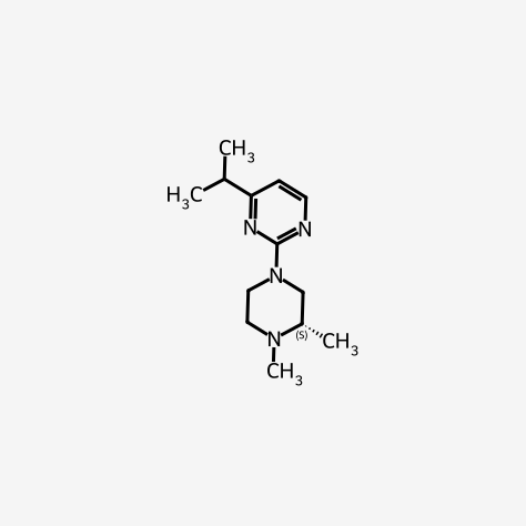 CC(C)c1ccnc(N2CCN(C)[C@@H](C)C2)n1